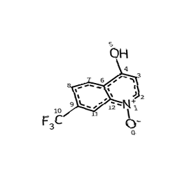 [O-][n+]1ccc(O)c2ccc(C(F)(F)F)cc21